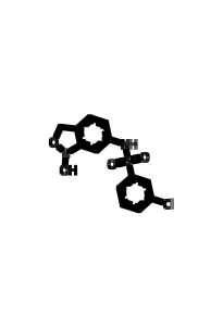 O=S(=O)(Nc1ccc2c(c1)B(O)OC2)c1cccc(Cl)c1